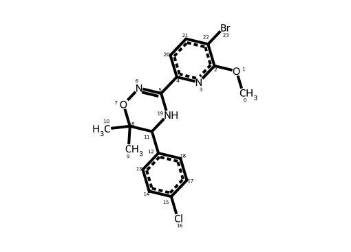 COc1nc(C2=NOC(C)(C)C(c3ccc(Cl)cc3)N2)ccc1Br